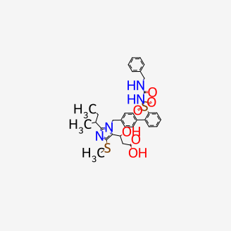 CCC(C)c1nc(SC)c(C(O)CC(=O)O)n1Cc1ccc(-c2ccccc2S(=O)(=O)NC(=O)NCc2ccccc2)cc1